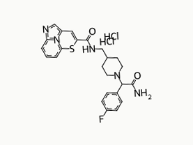 Cl.Cl.NC(=O)C(c1ccc(F)cc1)N1CCC(CNC(=O)C2=Cc3cnc4cccc(n34)S2)CC1